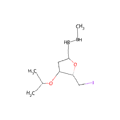 CBBC1CC(OC(C)C)C(CI)O1